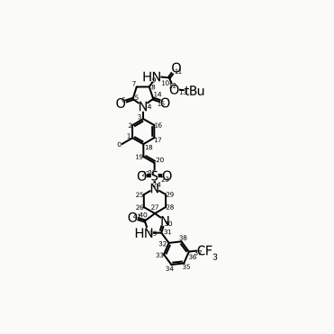 Cc1cc(N2C(=O)CC(NC(=O)OC(C)(C)C)C2=O)ccc1C=CS(=O)(=O)N1CCC2(CC1)N=C(c1cccc(C(F)(F)F)c1)NC2=O